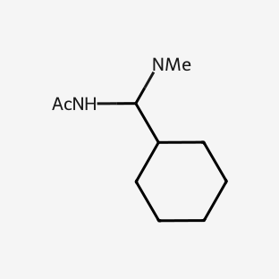 CNC(NC(C)=O)C1CCCCC1